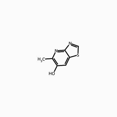 Cc1nc2ncsc2cc1O